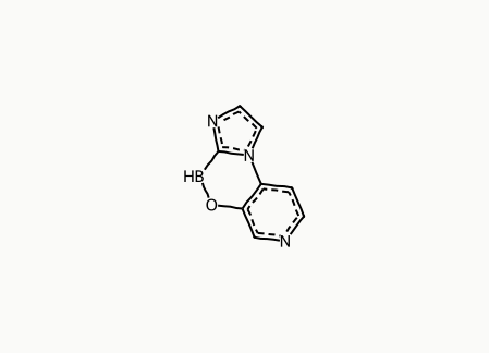 B1Oc2cnccc2-n2ccnc21